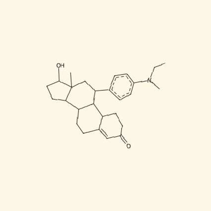 CCN(C)c1ccc(C2CC3(C)C(O)CCC3C3CCC4=CC(=O)CCC4C23)cc1